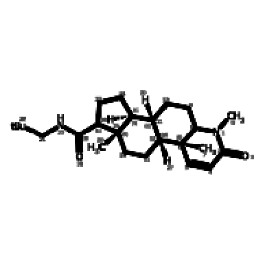 CN1C(=O)C=C[C@@]2(C)C1CC[C@@H]1[C@H]2CC[C@]2(C)C(C(=O)NCC(C)(C)C)CC[C@@H]12